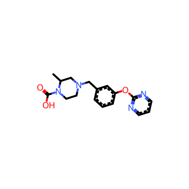 CC1CN(Cc2cccc(Oc3ncccn3)c2)CCN1C(=O)O